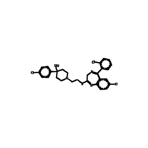 OC1(c2ccc(Cl)cc2)CCN(CCSC2=Nc3ccc(Cl)cc3C(c3ccccc3Cl)=NC2)CC1